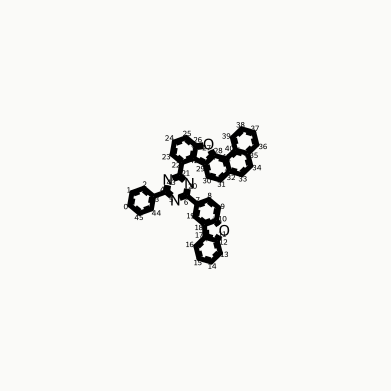 c1ccc(-c2nc(-c3ccc4oc5ccccc5c4c3)nc(-c3cccc4oc5c(ccc6ccc7ccccc7c65)c34)n2)cc1